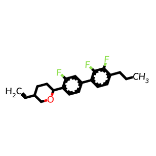 C=CC1CCC(c2ccc(-c3ccc(CCC)c(F)c3F)cc2F)OC1